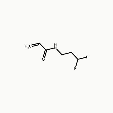 C=CC(=O)NCCC(F)F